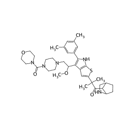 COC(CN1CCN(C(=O)N2CCOCC2)CC1)c1c(-c2cc(C)cc(C)c2)[nH]c2sc(C(C)(C)C(=O)C3C4CCC3NC4)cc12